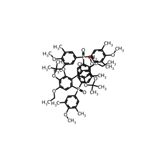 CCOc1cc(P(=O)(c2cc(C)c(OC)c(C)c2)c2cc(C)c(OC)c(C)c2)c(-c2cc(P(=O)(c3cc(C)c(OC)c(C)c3)c3cc(C)c(OC)c(C)c3)c(OCC)c3c2OC(C)(C)O3)c2c1OC(C)(C)O2